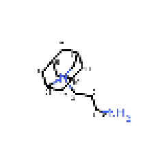 NCCCN1CC2CC3CC(C2)CC1C3